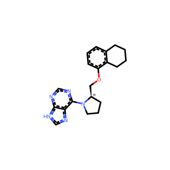 c1cc2c(c(OC[C@H]3CCCN3c3ncnc4[nH]cnc34)c1)CCCC2